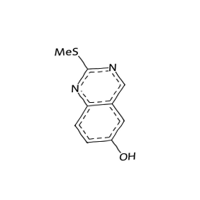 CSc1ncc2cc(O)ccc2n1